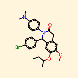 CCC(C)Oc1cc2c(cc1OC)CC(=O)N(c1ccc(N(C)C)cc1)C2c1ccc(Br)cc1